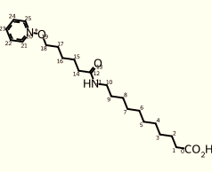 O=C(O)CCCCCCCCCCNC(=O)CCCCCO[n+]1ccccc1